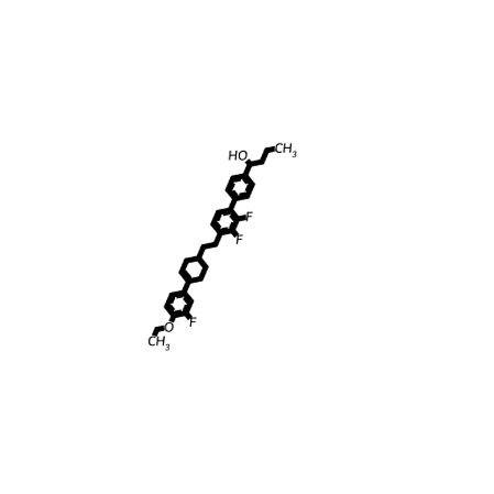 CCCC(O)c1ccc(-c2ccc(CCC3CC=C(c4ccc(OCC)c(F)c4)CC3)c(F)c2F)cc1